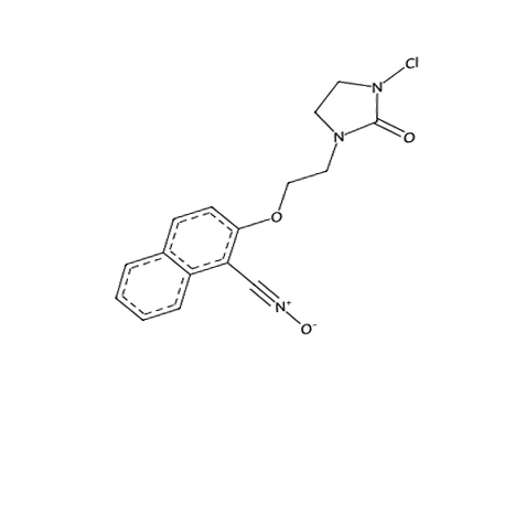 O=C1N(Cl)CCN1CCOc1ccc2ccccc2c1C#[N+][O-]